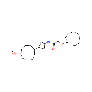 CBC1CCCCC(C23CC(NC(=O)COC4CCCCCCCC4)(C2)C3)CCC1